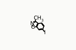 Cc1noc2cc(I)ccc12